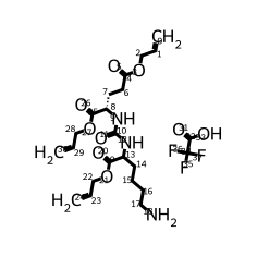 C=CCOC(=O)CC[C@H](NC(=O)NC(CCCCN)C(=O)OCC=C)C(=O)OCC=C.O=C(O)C(F)(F)F